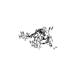 NC(=O)CC[C@H](N)C(=O)O.NCCCC[C@H](N)C(=O)O.N[C@@H](CCC(=O)O)C(=O)O.N[C@@H](Cc1c[nH]cn1)C(=O)O.O=C(O)[C@@H]1CCCN1